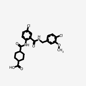 COc1cc(CNC(=O)c2cc(Cl)ccc2NC(=O)C2CCC(C(=O)O)CC2)ccc1Cl